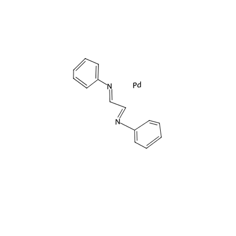 C(C=Nc1ccccc1)=Nc1ccccc1.[Pd]